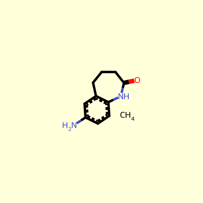 C.Nc1ccc2c(c1)CCCC(=O)N2